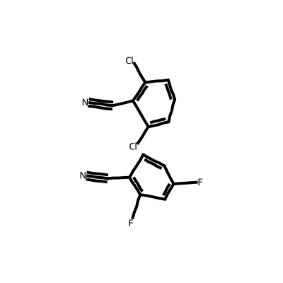 N#Cc1c(Cl)cccc1Cl.N#Cc1ccc(F)cc1F